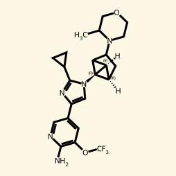 CC1COCCN1C1C[C@@H]2[C@@H]3C1[C@@]23n1cc(-c2cnc(N)c(OC(F)(F)F)c2)nc1C1CC1